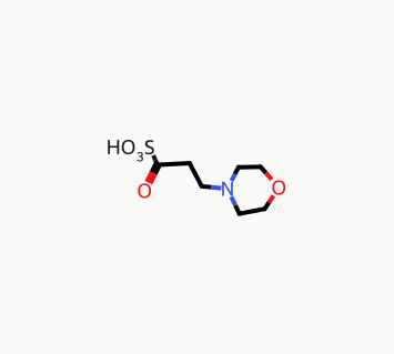 O=C(CCN1CCOCC1)S(=O)(=O)O